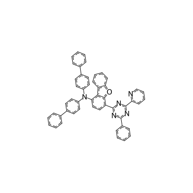 c1ccc(-c2ccc(N(c3ccc(-c4ccccc4)cc3)c3ccc(-c4nc(-c5ccccc5)nc(-c5ccccn5)n4)c4oc5ccccc5c34)cc2)cc1